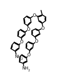 Cc1ccc(Oc2cccc(Oc3cccc(Oc4cccc(N)c4)c3)c2)cc1Oc1cccc(Oc2cccc(Oc3cccc(N)c3)c2)c1